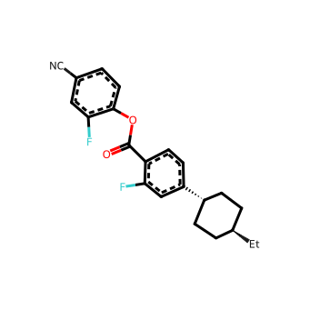 CC[C@H]1CC[C@H](c2ccc(C(=O)Oc3ccc(C#N)cc3F)c(F)c2)CC1